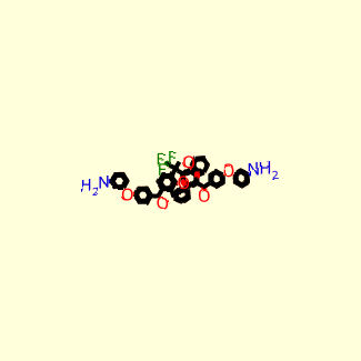 CC(c1ccc(C(=O)c2ccc(Oc3cccc(N)c3)cc2)c2c1Oc1ccc-2cc1)(c1ccc(C(=O)c2ccc(Oc3cccc(N)c3)cc2)c2c1Oc1ccc-2cc1)C(F)(F)F